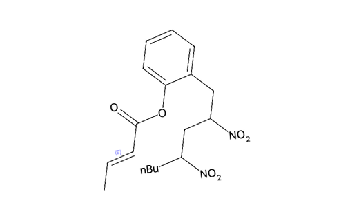 C/C=C/C(=O)Oc1ccccc1CC(CC(CCCC)[N+](=O)[O-])[N+](=O)[O-]